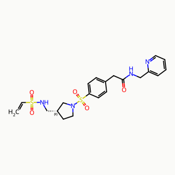 C=CS(=O)(=O)NC[C@H]1CCN(S(=O)(=O)c2ccc(CC(=O)NCc3ccccn3)cc2)C1